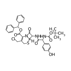 CC(C)(C)OC(=O)NC(C(=O)NC1C(=O)N2C(C(=O)OC(c3ccccc3)c3ccccc3)=C(CCl)CS[C@H]12)c1ccc(O)cc1